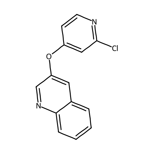 Clc1cc(Oc2cnc3ccccc3c2)ccn1